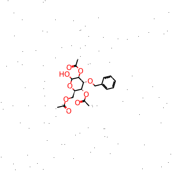 CC(=O)OC[C@H]1OC(O)[C@@H](OC(C)=O)[C@H](OCc2ccccc2)[C@@H]1OC(C)=O